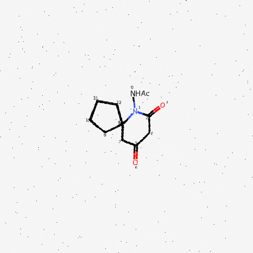 CC(=O)NN1C(=O)CC(=O)CC12CCCC2